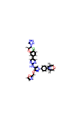 C[C@@H](Cn1cnnn1)Oc1cc(-c2cnc(Nc3cn([C@H]4CC[C@H](N5[C@@H]6CC[C@H]5COC6)CC4)nc3OCc3ncco3)nc2)ccc1Cl